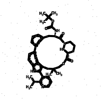 CC(C)c1ncccc1-c1[nH]c2ccc3cc2c1CC(C)(C)COC(=O)[C@@H]1CCCN(N1)C(=O)[C@@H](NC(=O)OC(C)(C)C)Cc1cccc-3c1